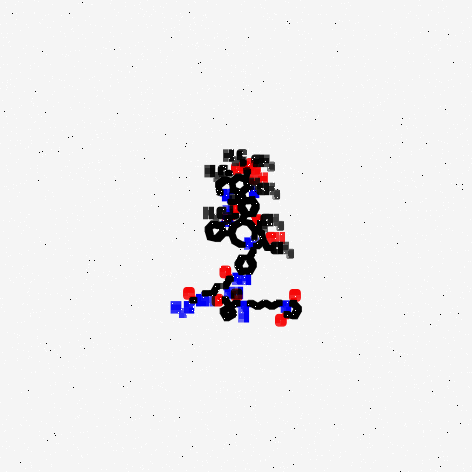 CC[C@]1(O)C[C@@H]2C[C@](C(=O)OC)(c3cc4c(cc3OC)N(C)[C@H]3[C@@](O)(C(=O)OC)[C@H](OC(C)=O)[C@]5(CC)C=CCN6CC[C@]43[C@@H]65)c3[nH]c4ccccc4c3CC[N+](Cc3ccc(NC(=O)[C@H](CCCNC(N)=O)NC(=O)C4(C(=O)NCCCCCN5C(=O)C=CC5=O)CCC4)cc3)(C2)C1